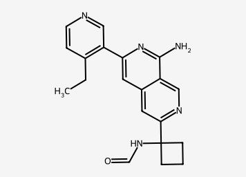 CCc1ccncc1-c1cc2cc(C3(NC=O)CCC3)ncc2c(N)n1